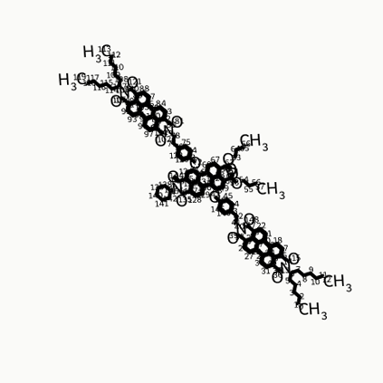 CCCCCCC(CCCCCC)N1C(=O)c2ccc3c4ccc5c6c(ccc(c7ccc(c2c37)C1=O)c64)C(=O)N(CCc1ccc(Oc2cc(C(=O)OCCCC)c3c(C(=O)OCCCC)ccc4c6c(Oc7ccc(CCN8C(=O)c9ccc%10c%11ccc%12c%13c(ccc(c%14ccc(c9c%10%14)C8=O)c%13%11)C(=O)N(C(CCCCCC)CCCCCC)C%12=O)cc7)cc7c8c(ccc(c2c34)c86)C(=O)N(C2CCCCC2)C7=O)cc1)C5=O